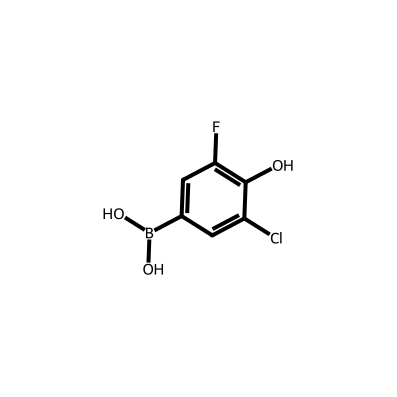 OB(O)c1cc(F)c(O)c(Cl)c1